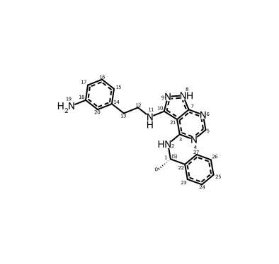 C[C@H](Nc1ncnc2[nH]nc(NCCc3cccc(N)c3)c12)c1ccccc1